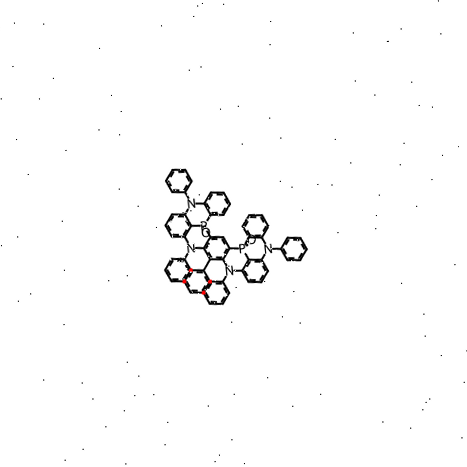 O=P12c3ccccc3N(c3ccccc3)c3cccc(c31)N(c1ccccc1)c1c2cc2c(c1-c1ccccc1)N(c1ccccc1)c1cccc3c1P2(=O)c1ccccc1N3c1ccccc1